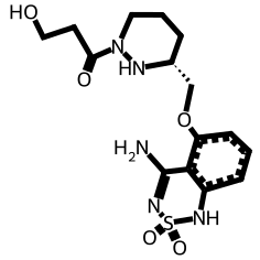 NC1=NS(=O)(=O)Nc2cccc(OC[C@H]3CCCN(C(=O)CCO)N3)c21